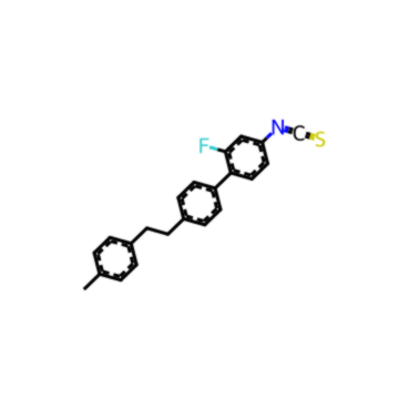 Cc1ccc(CCc2ccc(-c3ccc(N=C=S)cc3F)cc2)cc1